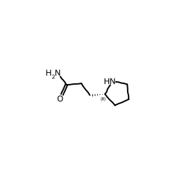 NC(=O)CC[C@H]1CCCN1